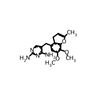 COc1cc(Cc2cnc(N)nc2N)c2c(c1OC)OC(C)=CC2